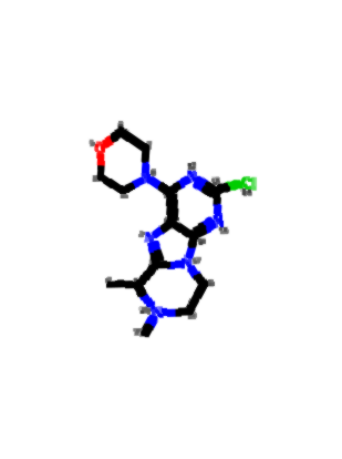 CC1c2nc3c(N4CCOCC4)nc(Cl)nc3n2CCN1C